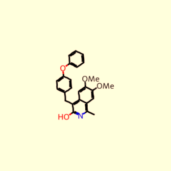 COc1cc2c(C)nc(O)c(Cc3ccc(Oc4ccccc4)cc3)c2cc1OC